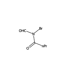 CCCC(=O)N(Br)C=O